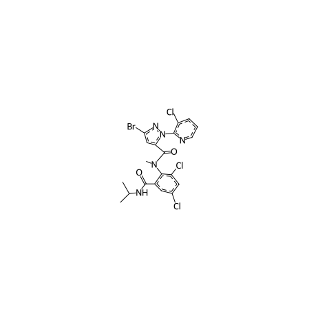 CC(C)NC(=O)c1cc(Cl)cc(Cl)c1N(C)C(=O)c1cc(Br)nn1-c1ncccc1Cl